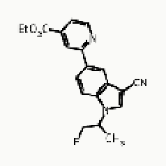 CCOC(=O)c1ccnc(-c2ccc3c(c2)c(C#N)cn3C(C)CF)c1